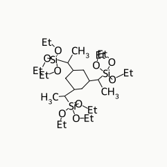 CCO[Si](OCC)(OCC)C(C)C1CC(C(C)[Si](OCC)(OCC)OCC)CC(C(C)[Si](OCC)(OCC)OCC)C1